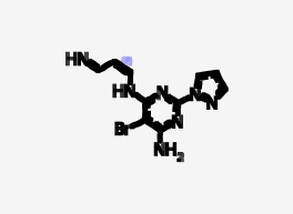 N=C/C=C\Nc1nc(-n2cccn2)nc(N)c1Br